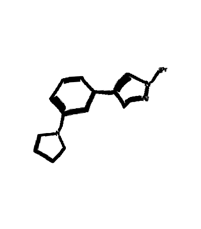 CC(C)n1cc(C2C=CC=C(N3CCCC3)C2)cn1